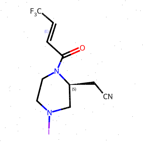 N#CC[C@H]1CN(I)CCN1C(=O)/C=C/C(F)(F)F